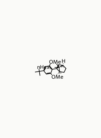 CCCCCCC(C)(C)c1cc(OC)c(C2=C[C@H]3CC[C@]2(C)C3(C)C)c(OC)c1